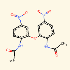 CC(=O)Nc1ccc([N+](=O)[O-])cc1Oc1cc([N+](=O)[O-])ccc1NC(C)=O